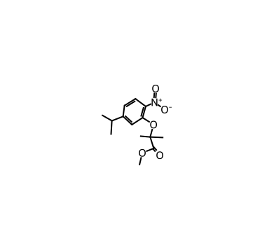 COC(=O)C(C)(C)Oc1cc(C(C)C)ccc1[N+](=O)[O-]